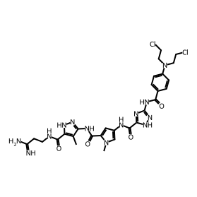 Cc1c(NC(=O)c2cc(NC(=O)c3nc(NC(=O)c4ccc(N(CCCl)CCCl)cc4)n[nH]3)cn2C)n[nH]c1C(=O)NCCC(=N)N